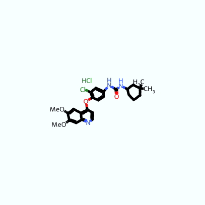 COc1cc2nccc(Oc3ccc(NC(=O)NC4CCCC(C)(C)C4)cc3Cl)c2cc1OC.Cl